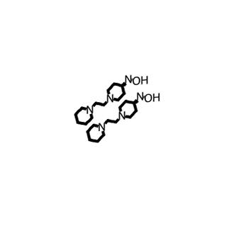 ON=C1CCN(CCN2CCCCC2)CC1.ON=C1CCN(CCN2CCCCC2)CC1